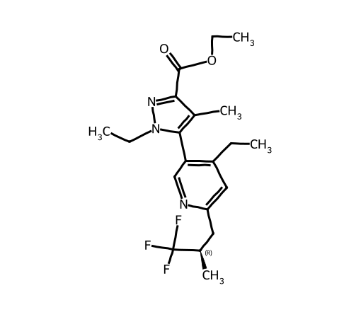 CCOC(=O)c1nn(CC)c(-c2cnc(C[C@@H](C)C(F)(F)F)cc2CC)c1C